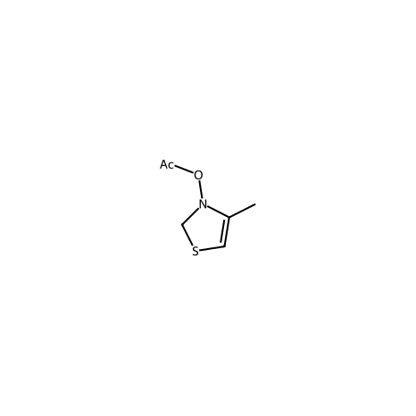 CC(=O)ON1CSC=C1C